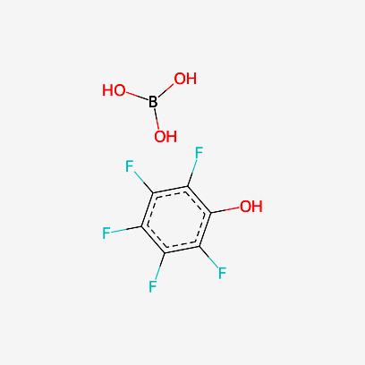 OB(O)O.Oc1c(F)c(F)c(F)c(F)c1F